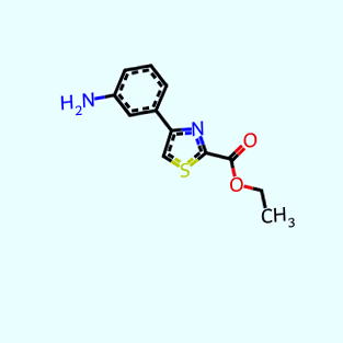 CCOC(=O)c1nc(-c2cccc(N)c2)cs1